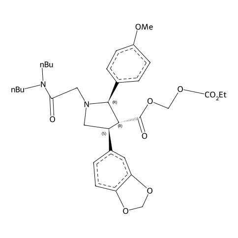 CCCCN(CCCC)C(=O)CN1C[C@H](c2ccc3c(c2)OCO3)[C@@H](C(=O)OCOC(=O)OCC)[C@@H]1c1ccc(OC)cc1